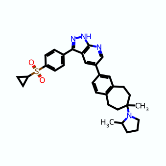 CC1CCCN1C1(C)CCc2ccc(-c3cnc4[nH]nc(-c5ccc(S(=O)(=O)C6CC6)cc5)c4c3)cc2CC1